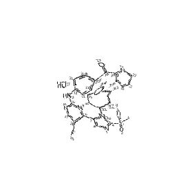 CS(=O)(=O)c1ncc(-c2nc(Nc3ccc(C(=O)c4ccccn4)cc3)ncc2F)n1C1CCOCC1.Cl